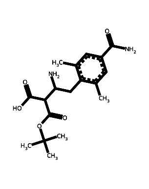 Cc1cc(C(N)=O)cc(C)c1CC(N)C(C(=O)O)C(=O)OC(C)(C)C